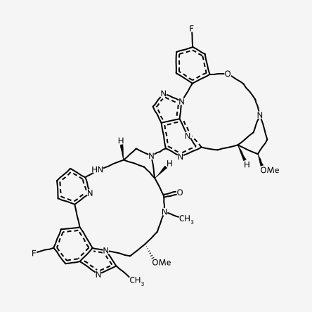 CO[C@H]1CN(C)C(=O)[C@@H]2C[C@@H](CN2c2nc3nc4c2cnn4-c2ccc(F)cc2OCCN2C[C@@H](C3)[C@H](OC)C2)Nc2cccc(n2)-c2cc(F)cc3nc(C)n(c23)C1